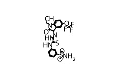 CCN1C(=O)C(=NNC(=S)Nc2cccc(S(N)(=O)=O)c2)c2cc(OC(F)(F)F)ccc21